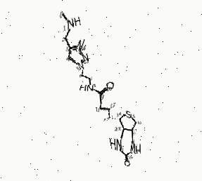 CNCc1cn(CCNC(=O)CCC[C@@H]2SCC3NC(=O)NC32)nn1